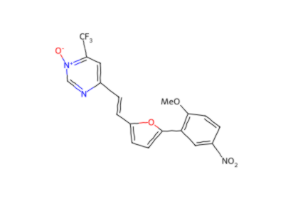 COc1ccc([N+](=O)[O-])cc1-c1ccc(C=Cc2cc(C(F)(F)F)[n+]([O-])cn2)o1